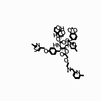 Cc1cccc(CN(C)CCOCC(=O)O[C@H](CN(CC(C)C)S(=O)(=O)c2ccc3c(c2)OCO3)[C@H](Cc2ccc(OCc3csc(C)n3)cc2)NC(=O)O[C@H]2CO[C@H]3OCC[C@H]32)n1